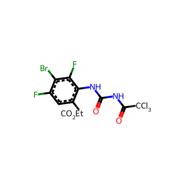 CCOC(=O)c1cc(F)c(Br)c(F)c1NC(=O)NC(=O)C(Cl)(Cl)Cl